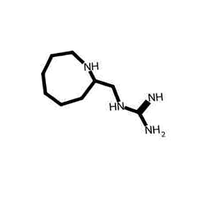 N=C(N)NCC1CCCCCCN1